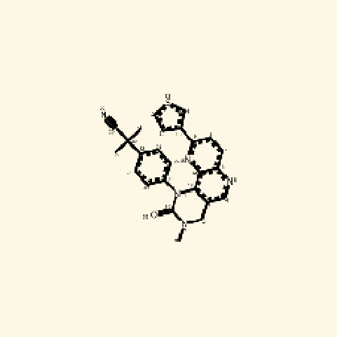 CN1Cc2cnc3ccc(-c4ccsc4)nc3c2N(c2ccc(C(C)(C)C#N)cc2)C1=O